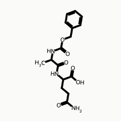 CC(NC(=O)OCc1ccccc1)C(=O)NC(CCC(N)=O)C(=O)O